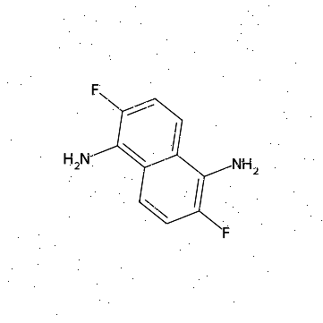 Nc1c(F)ccc2c(N)c(F)ccc12